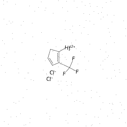 FC(F)(F)C1=[C]([Hf+2])CC=C1.[Cl-].[Cl-]